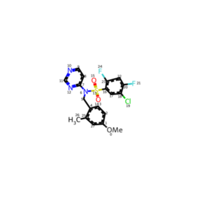 COc1ccc(CN(c2ccncn2)S(=O)(=O)c2cc(Cl)c(F)cc2F)c(C)c1